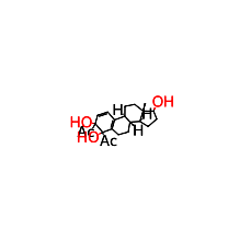 CC(=O)C1(O)C=CC2=C(CC[C@@H]3[C@@H]2CC[C@]2(C)[C@@H](O)CC[C@@H]32)C1(O)C(C)=O